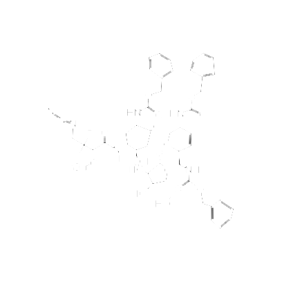 CCCCO[C@@H](C(=O)N[C@@H]1C[C@H](NC(=O)OCc2ccccc2)[C@@H](O[C@H]2O[C@H](CNC(=O)OCc3ccccc3)C=C[C@H]2NC(=O)OCc2ccccc2)[C@H](O[C@@H]2O[C@H](CO)[C@@H](O)[C@H]2O)[C@H]1O)C(F)(F)CN=[N+]=[N-]